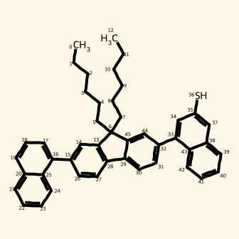 CCCCCCC1(CCCCCC)c2cc(-c3cccc4ccccc34)ccc2-c2ccc(-c3cc(S)cc4ccccc34)cc21